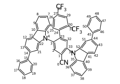 N#Cc1cc(-n2c3ccccc3c3ccc(-c4ccccc4)cc32)c(-c2ccc(C(F)(F)F)cc2C(F)(F)F)cc1-n1c2ccccc2c2ccc(-c3ccccc3)cc21